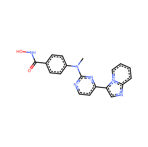 CN(c1ccc(C(=O)NO)cc1)c1nccc(-c2cnc3ccccn23)n1